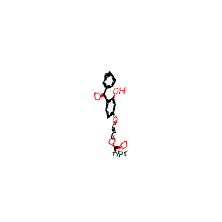 CCCC(=O)OCCOc1ccc(C(=O)c2ccccc2)c(O)c1